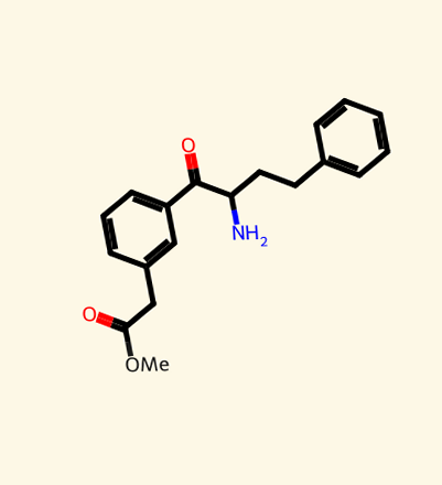 COC(=O)Cc1cccc(C(=O)C(N)CCc2ccccc2)c1